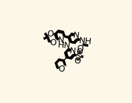 CC(=O)Nc1cc(Nc2cc([C@@H]3CCCOC3)cc(S(C)(=O)=O)n2)c(-c2ccc3c(n2)OCC(C)(C)O3)cn1